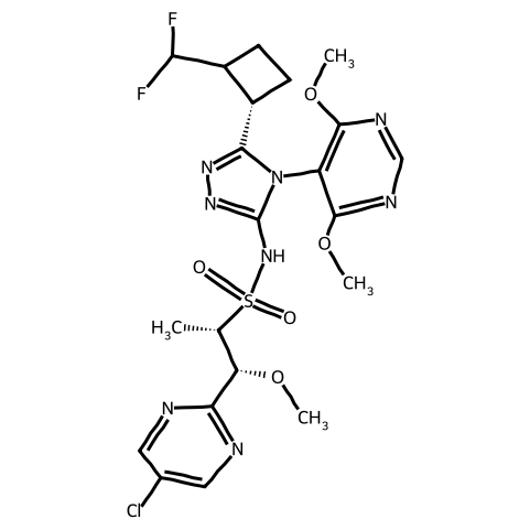 COc1ncnc(OC)c1-n1c(NS(=O)(=O)[C@@H](C)[C@H](OC)c2ncc(Cl)cn2)nnc1[C@H]1CCC1C(F)F